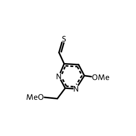 COCc1nc(C=S)cc(OC)n1